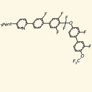 CCCCCc1ccc(-c2ccc(-c3cc(F)c(C(F)(F)Oc4ccc(-c5ccc(OC(F)(F)F)c(F)c5)c(F)c4)c(F)c3)c(F)c2)nc1